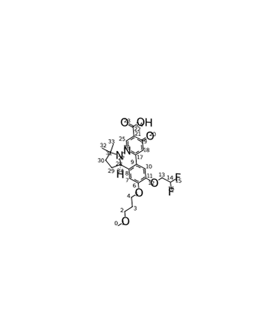 COCCCOc1cc2c(cc1OCC(F)F)-c1cc(=O)c(C(=O)O)cn1N1[C@@H]2CCC1(C)C